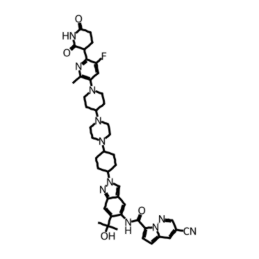 Cc1nc(C2CCC(=O)NC2=O)c(F)cc1N1CCC(N2CCN(C3CCC(n4cc5cc(NC(=O)c6ccc7cc(C#N)cnn67)c(C(C)(C)O)cc5n4)CC3)CC2)CC1